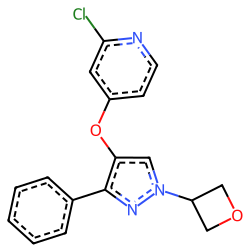 Clc1cc(Oc2cn(C3COC3)nc2-c2ccccc2)ccn1